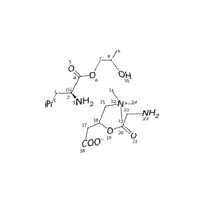 CC(C)C[C@H](N)C(=O)OCC(C)O.C[N+](C)(C)CC(CC(=O)[O-])OC(=O)CN